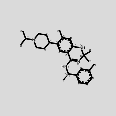 Cc1cccc([C@@H](C)NC2=NC(C)(C)Nc3cc(C)c(C4CCN(C(C)C)CC4)cc32)c1